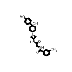 Cc1cccc(C(=O)NCC(=O)NC2CN([C@H]3CC[C@@](O)(c4ccc(O)cc4)CC3)C2)c1